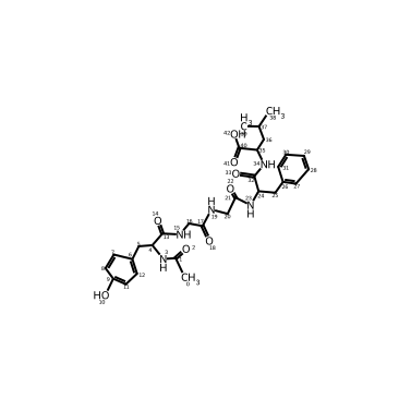 CC(=O)NC(Cc1ccc(O)cc1)C(=O)NCC(=O)NCC(=O)NC(Cc1ccccc1)C(=O)NC(CC(C)C)C(=O)O